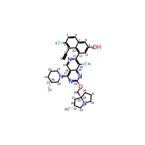 C#Cc1c(F)ccc2cc(O)cc(-c3ncc4c(N5CCC[C@@H](C)C5)nc(OC[C@@]56CCCN5C[C@H](F)C6)nc4c3F)c12